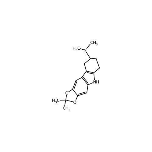 CN(C)C1CCc2[nH]c3cc4c(cc3c2C1)OC(C)(C)O4